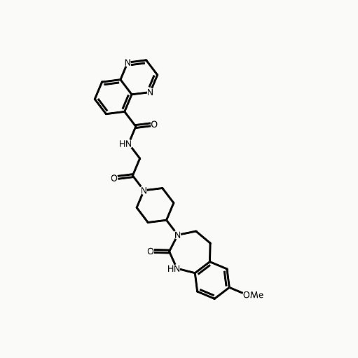 COc1ccc2c(c1)CCN(C1CCN(C(=O)CNC(=O)c3cccc4nccnc34)CC1)C(=O)N2